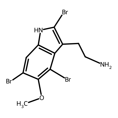 COc1c(Br)cc2[nH]c(Br)c(CCN)c2c1Br